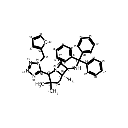 CC1(C)S[C@@H]2C(NC(c3ccccc3)(c3ccccc3)c3ccccc3)C(=O)N2C1c1nnnn1Cc1ccco1